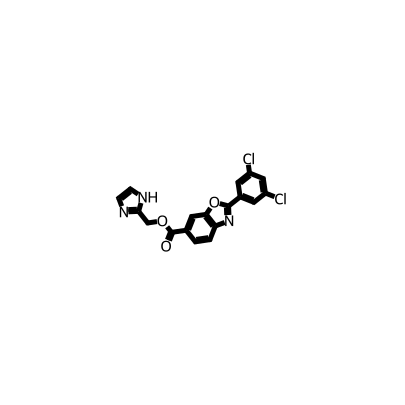 O=C(OCc1ncc[nH]1)c1ccc2nc(-c3cc(Cl)cc(Cl)c3)oc2c1